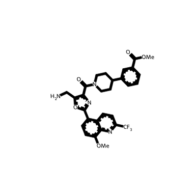 COC(=O)c1cccc(C2CCN(C(=O)c3nc(-c4ccc(OC)c5nc(C(F)(F)F)ccc45)oc3CN)CC2)c1